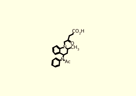 CC(=O)N(c1ccccc1)C1CC(C)N(CC(=O)CCC(=O)O)c2ccccc21